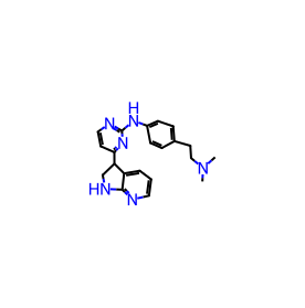 CN(C)CCc1ccc(Nc2nccc(C3CNc4ncccc43)n2)cc1